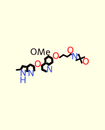 COc1cc2c(Oc3cnc4[nH]c(C)cc4c3)ccnc2cc1OCCCC(=O)N1CC2(COC2)C1